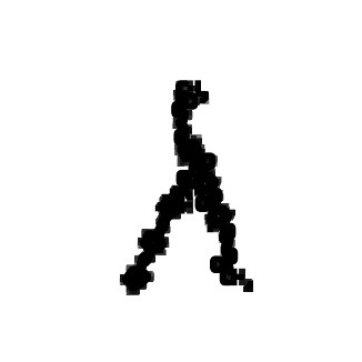 C=CC(=O)OCCCOc1ccc(C(=O)Oc2ccc(OC(=O)c3ccc(OCCCOC(=O)C=C)cc3)c(C(=O)NCc3ccc(C#Cc4ccc(C#Cc5ccccc5)cc4)cc3)c2)cc1